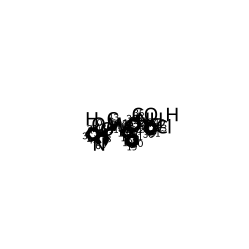 CO[C@@H]1CCCc2nccc(OC[C@H](C)C[C@H]3Cc4ccccc4C34CCC(Nc3cccc(Cl)c3)(C(=O)O)CC4)c21